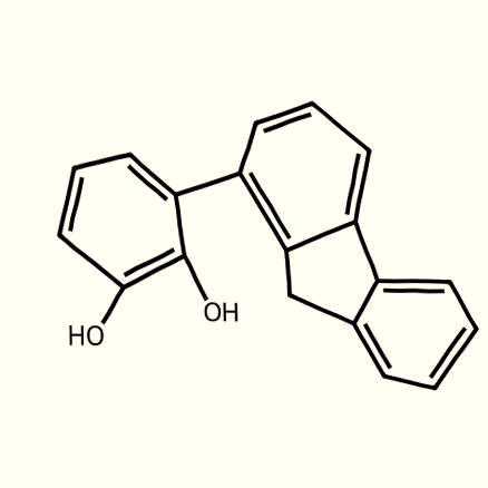 Oc1cccc(-c2cccc3c2Cc2ccccc2-3)c1O